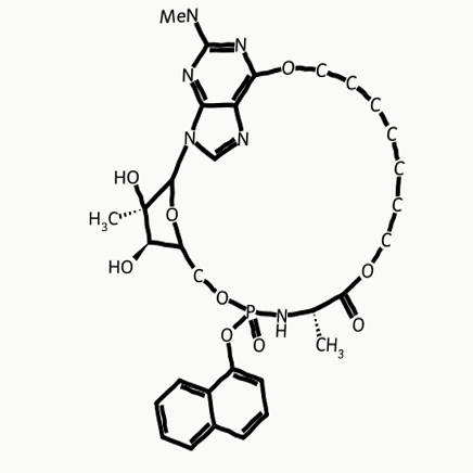 CNc1nc2c3ncn(c3n1)C1OC(COP(=O)(Oc3cccc4ccccc34)N[C@@H](C)C(=O)OCCCCCCCO2)[C@@H](O)[C@@]1(C)O